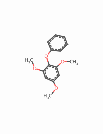 COc1cc(OC)c(Oc2c[c]ccc2)c(OC)c1